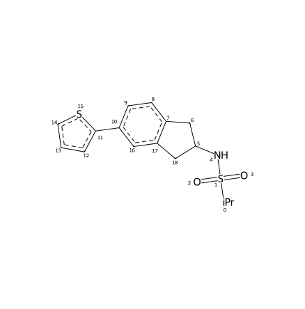 CC(C)S(=O)(=O)NC1Cc2ccc(-c3cccs3)cc2C1